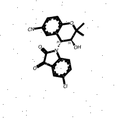 [C-]#[N+]c1ccc2c(c1)[C@@H](N1C(=O)C(=O)c3cc(Cl)ccc31)[C@H](O)C(C)(C)O2